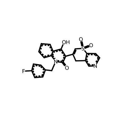 O=c1c(C2=CS(=O)(=O)c3ccncc3C2)c(O)c2ccccc2n1Cc1ccc(F)cc1